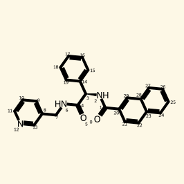 O=C(N[C@@H](C(=O)NCc1cccnc1)c1ccccc1)c1ccc2ccccc2c1